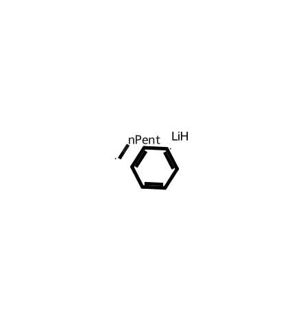 [CH2]CCCCC.[LiH].[c]1ccccc1